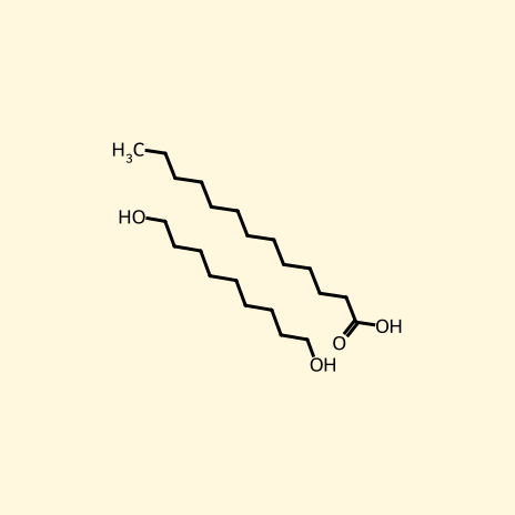 CCCCCCCCCCCCC(=O)O.OCCCCCCCCCO